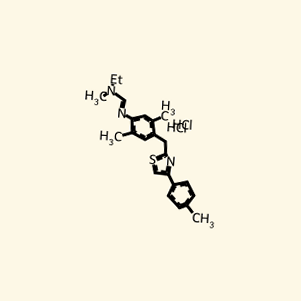 CCN(C)C=Nc1cc(C)c(Cc2nc(-c3ccc(C)cc3)cs2)cc1C.Cl.Cl